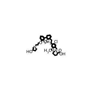 COc1cc(CCc2cccc(-c3cccc(OCCCN4CCC(O)C4)c3C)c2C)c(Cl)cc1CN1CCCCC1C(=O)O